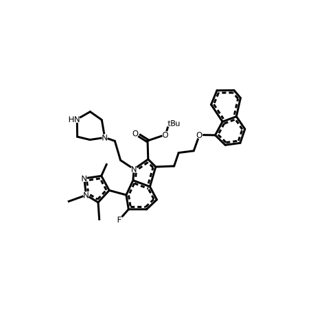 Cc1nn(C)c(C)c1-c1c(F)ccc2c(CCCOc3cccc4ccccc34)c(C(=O)OC(C)(C)C)n(CCN3CCNCC3)c12